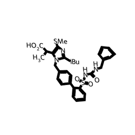 CCC(C)c1nc(SC)c(C(C)C(=O)O)n1Cc1ccc(-c2ccccc2S(=O)(=O)NC(=O)NCc2ccccc2)cc1